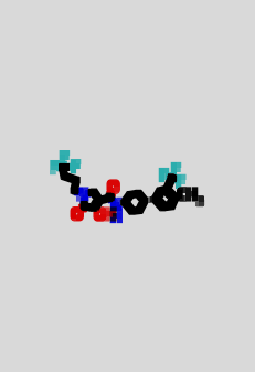 Cc1ccc([C@H]2CC[C@@H](NC(=O)C3=C(O)C(=O)N(CCCC(F)(F)F)C3)CC2)cc1C(F)(F)F